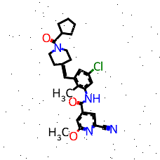 COc1cc(C(=O)Nc2cc(Cl)cc(C=C3CCN(C(=O)C4CCCC4)CC3)c2C)cc(C#N)n1